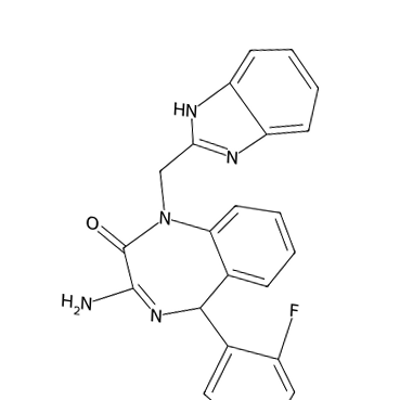 NC1=NC(c2ccccc2F)c2ccccc2N(Cc2nc3ccccc3[nH]2)C1=O